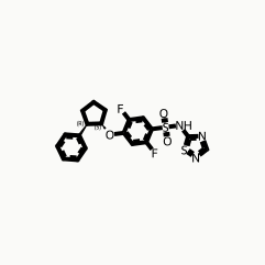 O=S(=O)(Nc1ncns1)c1cc(F)c(O[C@H]2CCC[C@@H]2c2ccccc2)cc1F